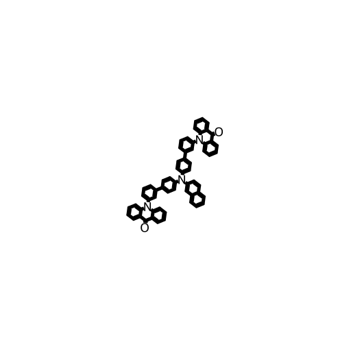 O=c1c2ccccc2n(-c2cccc(-c3ccc(N(c4ccc(-c5cccc(-n6c7ccccc7c(=O)c7ccccc76)c5)cc4)c4ccc5ccccc5c4)cc3)c2)c2ccccc12